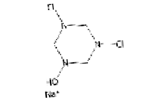 ON1CN(Cl)CN(Cl)C1.[Na+]